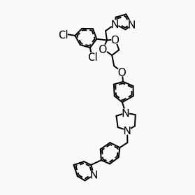 Clc1ccc(C2(Cn3ccnc3)OCC(COc3ccc(N4CCN(Cc5ccc(-c6ccccn6)cc5)CC4)cc3)O2)c(Cl)c1